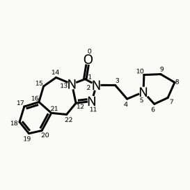 O=c1n(CCN2CCCCC2)nc2n1CCc1ccccc1C2